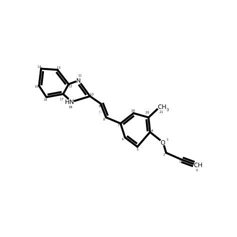 C#CCOc1ccc(/C=C/c2nc3ccccc3[nH]2)cc1C